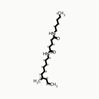 CCCCCCNC(=O)CCCC(=O)NCCCCCCC(C)CCC